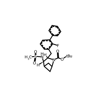 CC(C)(C)OC(=O)N1C2CC(C2)[C@H](NS(C)(=O)=O)[C@@H]1Cc1cccc(-c2ccccc2)c1F